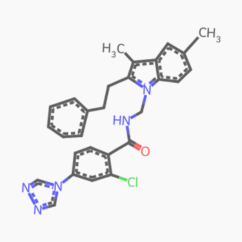 Cc1ccc2c(c1)c(C)c(CCc1ccccc1)n2CNC(=O)c1ccc(-n2cnnc2)cc1Cl